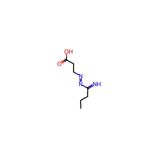 CCCC(=N)N=NCCC(=O)O